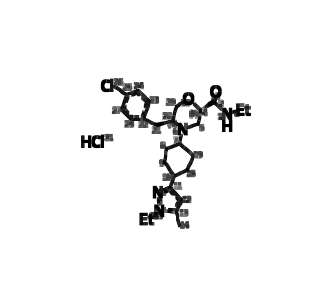 CCNC(=O)[C@H]1CN(C2CCC(c3cc(C)n(CC)n3)CC2)[C@@H](Cc2ccc(Cl)cc2)CO1.Cl